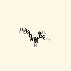 COc1cc(CCc2n[nH]cc2NC(=O)c2ccc(N3CCN(C)[C@H](C)C3)cc2)cc(OC)c1